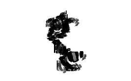 C=CCn1c(=O)c2cnc(Nc3ccc(N4CCN(CCCC(=O)NC(C(=O)N5C[C@H](O)C[C@H]5C(=O)N[C@@H](C)c5ccc(-c6scnc6C)cc5)C(C)(C)C)CC4)cc3)nc2n1-c1cccc(C(C)(C)O)n1